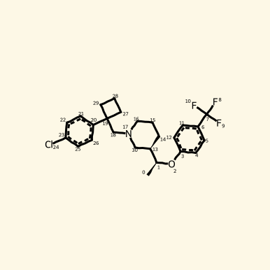 C[C@H](Oc1ccc(C(F)(F)F)cc1)[C@@H]1CCCN(CC2(c3ccc(Cl)cc3)CCC2)C1